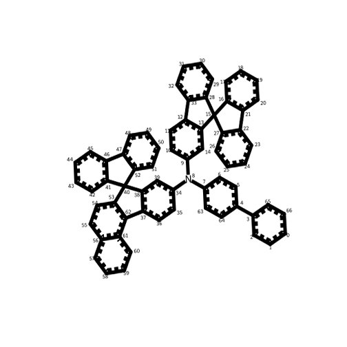 c1ccc(-c2ccc(N(c3ccc4c(c3)C3(c5ccccc5-c5ccccc53)c3ccccc3-4)c3ccc4c(c3)C3(c5ccccc5-c5ccccc53)c3ccc5ccccc5c3-4)cc2)cc1